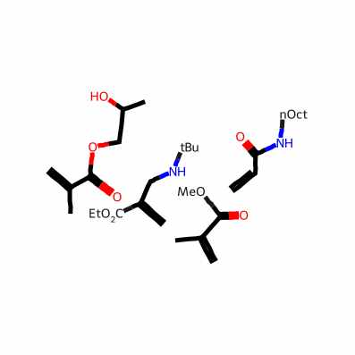 C=C(C)C(=O)OC.C=C(C)C(=O)OCC(C)O.C=C(CNC(C)(C)C)C(=O)OCC.C=CC(=O)NCCCCCCCC